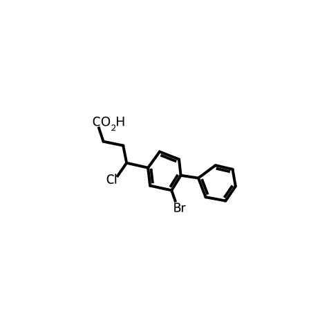 O=C(O)CCC(Cl)c1ccc(-c2ccccc2)c(Br)c1